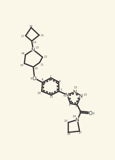 O=C(c1cn(-c2ccc(OC3CCN(C4CCC4)CC3)cc2)nn1)N1CCC1